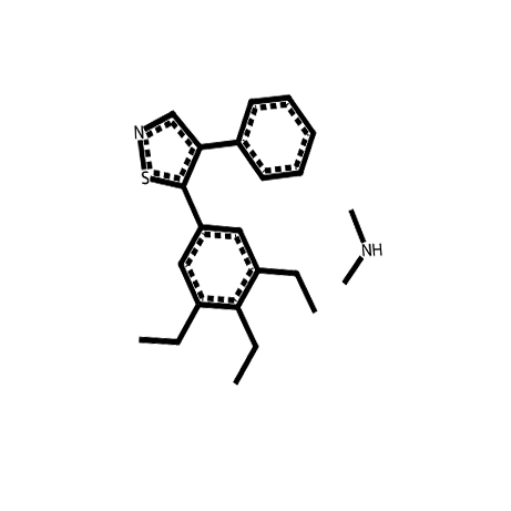 CCc1cc(-c2sncc2-c2ccccc2)cc(CC)c1CC.CNC